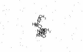 CN1CCN(c2[nH]nc3cc(Nc4ncc(I)c(Nc5ccccc5NS(C)(=O)=O)n4)ccc23)CC1